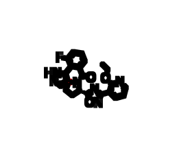 CCOc1ncccc1-c1noc([C@@H]2CCCN2C(=O)c2cccc(F)c2-c2ccn[nH]2)n1